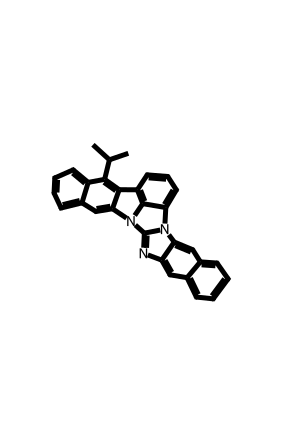 CC(C)c1c2ccccc2cc2c1c1cccc3c1n2c1nc2cc4ccccc4cc2n31